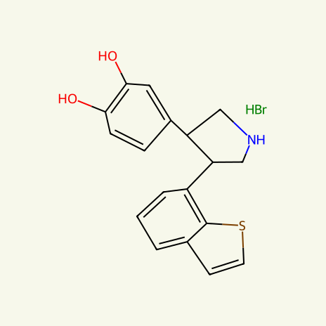 Br.Oc1ccc(C2CNCC2c2cccc3ccsc23)cc1O